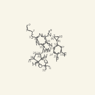 CCCSc1nc(N(C)[C@@H]2C[C@H]2c2ccc(F)c(F)c2)c2nnn([C@@H]3C[C@H](C)[C@H]4OC(C)(C)O[C@H]43)c2n1